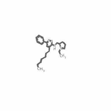 CCCCCCCc1cc(-c2ccccc2)nnc1NCC1CCCN1CC